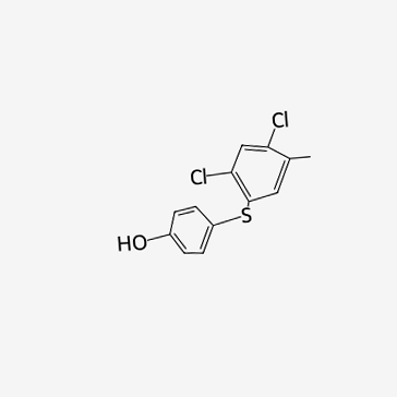 Cc1cc(Sc2ccc(O)cc2)c(Cl)cc1Cl